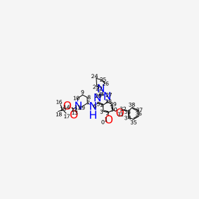 COc1cc2c(NC3CCCN(C(=O)OC(C)(C)C)C3)nc(N3CCCC3)nc2cc1OCc1ccccc1